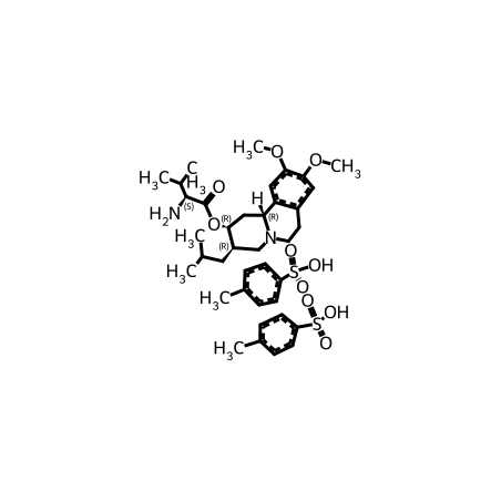 COc1cc2c(cc1OC)[C@H]1C[C@@H](OC(=O)[C@@H](N)C(C)C)[C@H](CC(C)C)CN1CC2.Cc1ccc(S(=O)(=O)O)cc1.Cc1ccc(S(=O)(=O)O)cc1